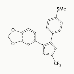 CSc1ccc(-c2cc(C(F)(F)F)nn2-c2ccc3c(c2)OCO3)cc1